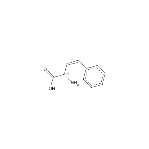 N[C@@H](/C=C\c1ccccc1)C(=O)O